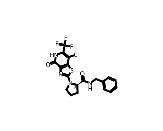 O=C(NCc1ccccc1)[C@H]1CCCN1c1nc2c(=O)[nH]c(C(F)(F)F)c(Cl)c2s1